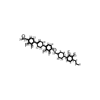 CCCc1ccc(C2CCC(COc3ccc(C4CC=C(c5ccc(C6CO6)c(F)c5F)CC4)c(F)c3F)CC2)c(F)c1F